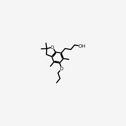 CCCOc1c(C)c(CCCO)c2c(c1C)CC(C)(C)O2